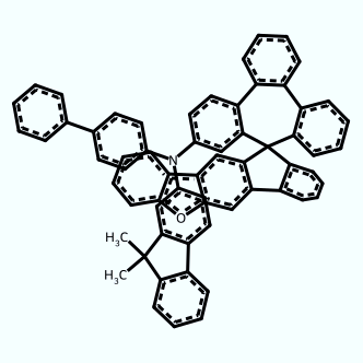 CC1(C)c2ccccc2-c2ccc(N(c3ccc(-c4ccccc4)cc3)c3ccc4c(c3)C3(c5ccccc5-c5ccccc5-4)c4ccccc4-c4cc5oc6ccccc6c5cc43)cc21